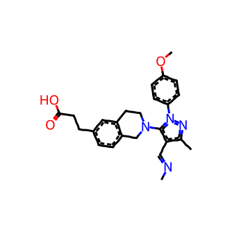 C/N=C/c1c(C)nn(-c2ccc(OC)cc2)c1N1CCc2cc(CCC(=O)O)ccc2C1